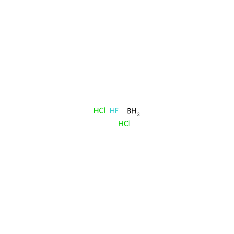 B.Cl.Cl.F